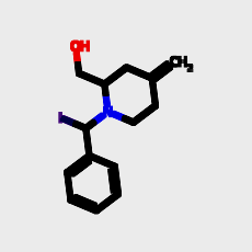 C=C1CCN(C(I)c2ccccc2)C(CO)C1